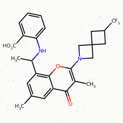 Cc1cc(C(C)Nc2ccccc2C(=O)O)c2oc(N3CC4(CC(C(F)(F)F)C4)C3)c(C)c(=O)c2c1